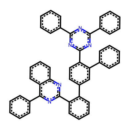 c1ccc(-c2nc(-c3ccccc3)nc(-c3ccc(-c4ccccc4-c4nc(-c5ccccc5)c5ccccc5n4)cc3-c3ccccc3)n2)cc1